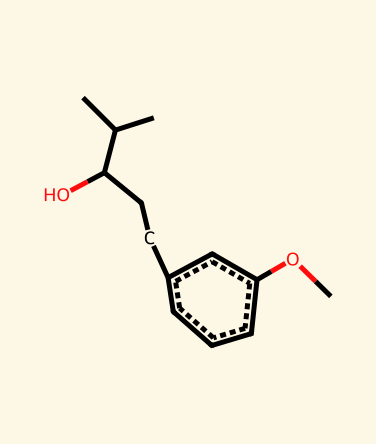 COc1cccc(CCC(O)C(C)C)c1